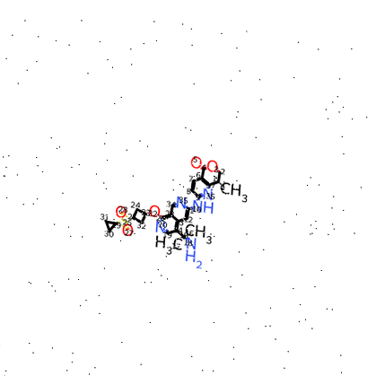 C[C@H]1COC(=O)c2ccc(Nc3cc4c(C(C)(C)N)cnc(O[C@H]5C[C@@H](S(=O)(=O)C6CC6)C5)c4cn3)nc21